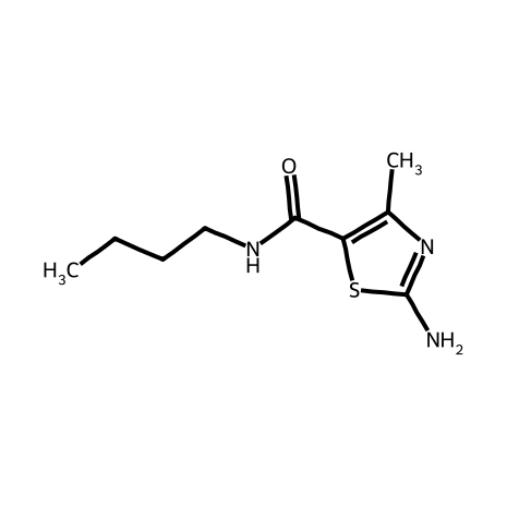 CCCCNC(=O)c1sc(N)nc1C